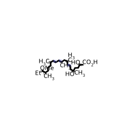 CC[C@H](OC)[C@@H](C)CCC[C@H](C)/C=C/C=C(\C)C[C@@H](C)/C=C/C[C@](C)(O)CC[C@@H](O)CC(=O)O